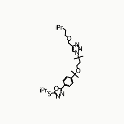 CC(C)CCOCc1cn(C(C)(C)CCOC(C)(C)c2ccc(-c3nnc(SC(C)C)o3)cc2)nn1